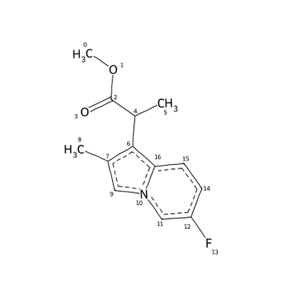 COC(=O)C(C)c1c(C)cn2cc(F)ccc12